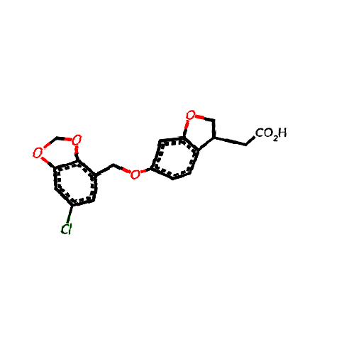 O=C(O)CC1COc2cc(OCc3cc(Cl)cc4c3OCO4)ccc21